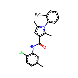 Cc1ccc(Cl)c(NC(=O)c2cc(C)n(-c3ccccc3C(F)(F)F)c2C)c1